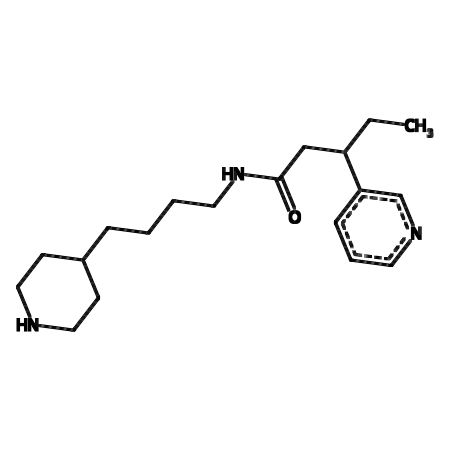 CCC(CC(=O)NCCCCC1CCNCC1)c1cccnc1